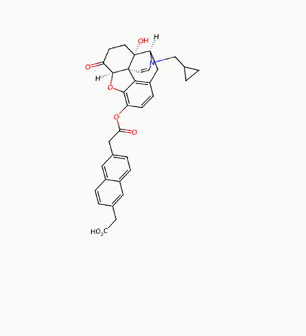 O=C(O)Cc1ccc2cc(CC(=O)Oc3ccc4c5c3O[C@H]3C(=O)CC[C@@]6(O)[C@@H](C4)N(CC4CC4)C=C[C@]536)ccc2c1